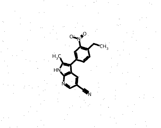 CCc1ccc(-c2c(C)[nH]c3ncc(C#N)cc23)cc1[N+](=O)[O-]